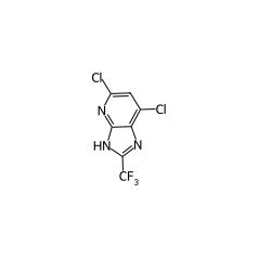 FC(F)(F)c1nc2c(Cl)cc(Cl)nc2[nH]1